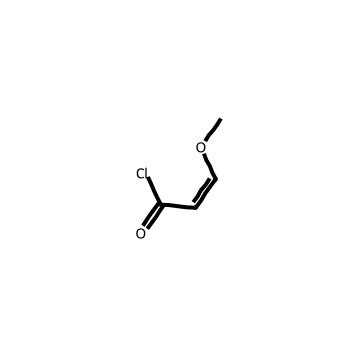 CO/C=C\C(=O)Cl